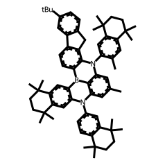 Cc1cc2c3c(c1)N(c1cc4c(cc1C)C(C)(C)CCC4(C)C)c1c(ccc4c1Cc1ccc(C(C)(C)C)cc1-4)B3c1cc3c(cc1N2c1ccc2c(c1)C(C)(C)CCC2(C)C)C(C)(C)CCC3(C)C